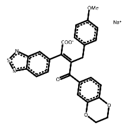 COc1ccc(C/C(C(=O)c2ccc3c(c2)OCCO3)=C(\C(=O)[O-])c2ccc3nsnc3c2)cc1.[Na+]